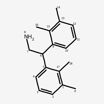 Cc1cccc(C(CN)c2cccc(C)c2C)c1C